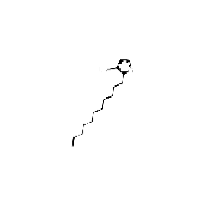 CCCCCCCCCCCc1sccc1[SiH3]